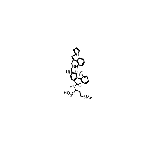 CSCC[C@H](NC(=O)c1ccc(CNCC(=Cc2ccco2)c2ccccc2)cc1-c1ccccc1C)C(=O)O.[LiH]